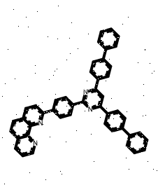 c1ccc(-c2ccc(-c3cc(-c4ccc(-c5ccccc5)cc4)nc(-c4ccc(-c5ccc6ccc7cccnc7c6n5)cc4)n3)cc2)cc1